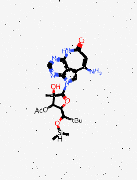 CC(=O)OC1C(C(O[SiH](C)C)C(C)(C)C)OC(n2cc3c4c(ncnc42)NC(=O)C=C3N)C1(C)O